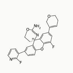 NC1=N[C@]2(CCO1)c1cc(-c3cccnc3F)ccc1Oc1c(F)cc(C3=CCCOC3)cc12